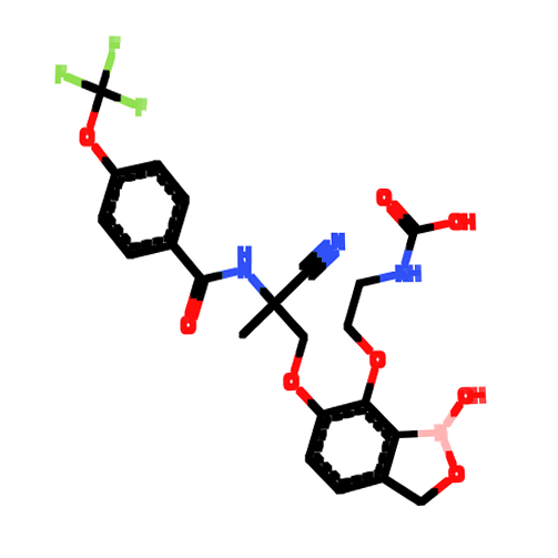 CC(C#N)(COc1ccc2c(c1OCCNC(=O)O)B(O)OC2)NC(=O)c1ccc(OC(F)(F)F)cc1